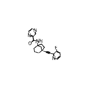 O=C(N[C@@]12CCC[C@@](C#Cc3ncccc3F)(CC1)C2)c1cnccn1